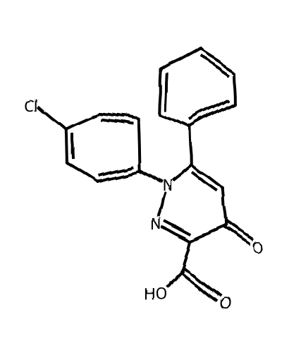 O=C(O)c1nn(-c2ccc(Cl)cc2)c(-c2ccccc2)cc1=O